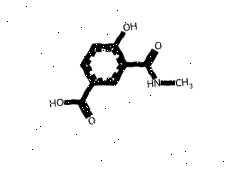 CNC(=O)c1cc(C(=O)O)ccc1O